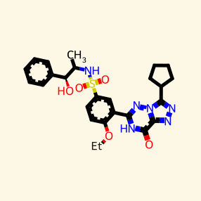 CCOc1ccc(S(=O)(=O)NC(C)[C@@H](O)c2ccccc2)cc1-c1nn2c(C3CCCC3)nnc2c(=O)[nH]1